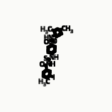 Cc1ccc(NS(=O)(=O)c2ccc(NC(=S)NC(=O)c3ccc(C)c(I)c3)cc2)c(C)c1